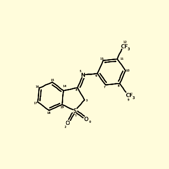 O=S1(=O)CC(=Nc2cc(C(F)(F)F)cc(C(F)(F)F)c2)c2ccccc21